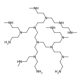 CNCCNCCN(CCNC)CCN(CCN(CCN)CCNC)CCN(CCN(CCN)CCNC)CCN(CCN(C)CCN)CCN(C)CCNC